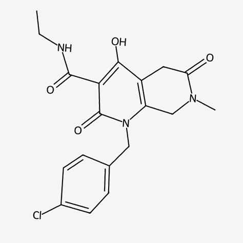 CCNC(=O)c1c(O)c2c(n(Cc3ccc(Cl)cc3)c1=O)CN(C)C(=O)C2